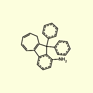 Nc1cccc2c1C(c1ccccc1)(c1ccccc1)C1=C2C=CC=CC1